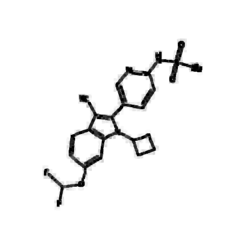 CC(C)(C)S(=O)(=O)Nc1ccc(-c2c(C#N)c3ccc(OC(F)F)cc3n2C2CCC2)cn1